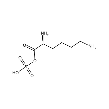 NCCCC[C@H](N)C(=O)OS(=O)(=O)O